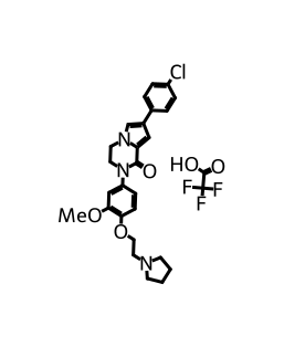 COc1cc(N2CCn3cc(-c4ccc(Cl)cc4)cc3C2=O)ccc1OCCN1CCCC1.O=C(O)C(F)(F)F